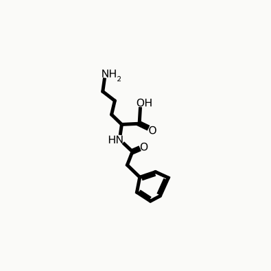 NCCCC(NC(=O)Cc1ccccc1)C(=O)O